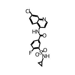 O=C(Nc1ccnc2cc(Cl)ccc12)c1ccc(F)c(S(=O)(=O)NC2CC2)c1